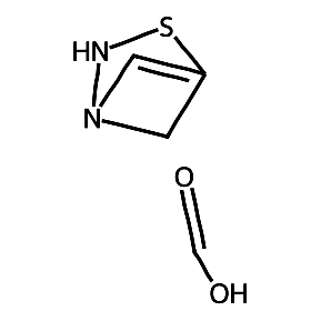 C1=C2CN1NS2.O=CO